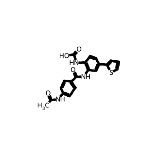 CC(=O)Nc1ccc(C(=O)Nc2cc(-c3cccs3)ccc2NC(=O)O)cc1